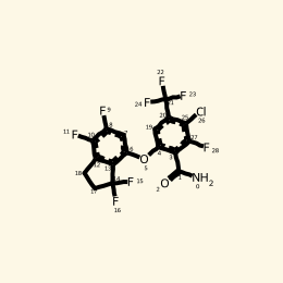 NC(=O)c1c(Oc2cc(F)c(F)c3c2C(F)(F)CC3)cc(C(F)(F)F)c(Cl)c1F